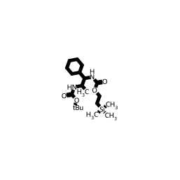 CC(NC(=O)OC(C)(C)C)C(NC(=O)OCC[Si](C)(C)C)C1CCCCC1